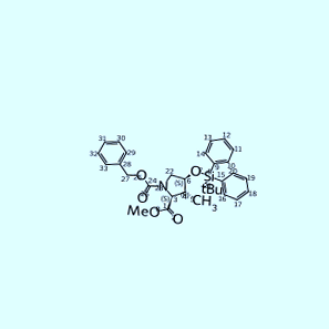 COC(=O)[C@@H]1[C@@H](C)[C@H](O[Si](c2ccccc2)(c2ccccc2)C(C)(C)C)CN1C(=O)OCc1ccccc1